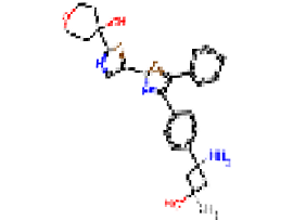 C[C@]1(O)C[C@@](N)(c2ccc(-c3nc(-c4cnc(C5(O)CCOCC5)s4)sc3-c3ccccc3)cc2)C1